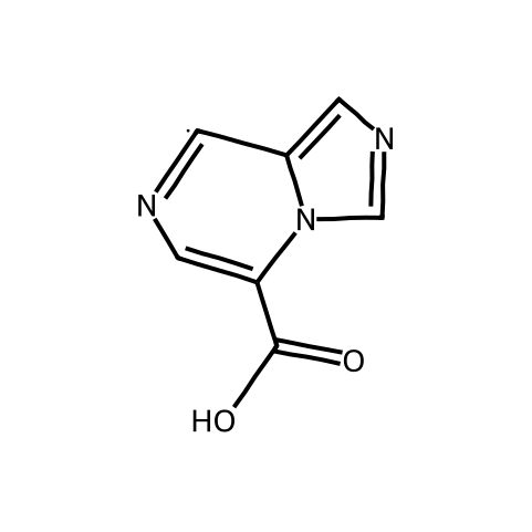 O=C(O)c1cn[c]c2cncn12